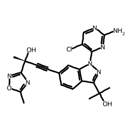 Cc1nc([C@](C)(O)C#Cc2ccc3c(C(C)(C)O)nn(-c4nc(N)ncc4Cl)c3c2)no1